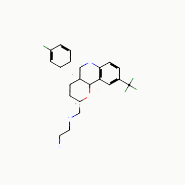 NCCNC[C@H]1CC[C@@H]2[C@H](O1)c1cc(C(F)(F)F)ccc1N[C@H]2C1C=CC(F)=CC1